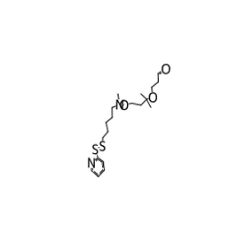 CN(CCCCCSSc1ccccn1)OCCC(C)(C)OCCC=O